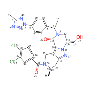 Cc1nnn(-c2ccc(C(C)N3C[C@@H](CO)n4nc5c(c4C3=O)CN(C(=O)c3ccc(Cl)c(Cl)c3)[C@H](C)C5)cc2)n1